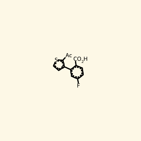 CC(=O)c1sccc1-c1cc(F)ccc1C(=O)O